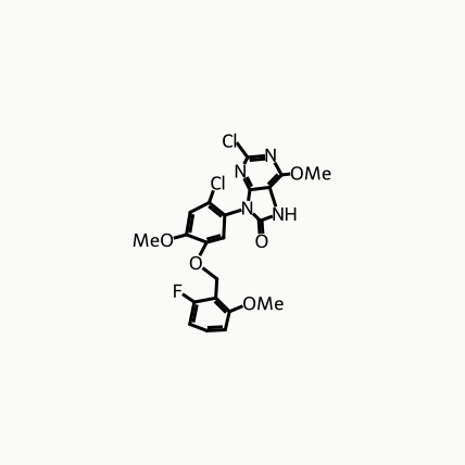 COc1cc(Cl)c(-n2c(=O)[nH]c3c(OC)nc(Cl)nc32)cc1OCc1c(F)cccc1OC